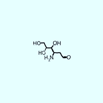 NC(CC=O)C(O)C(O)CO